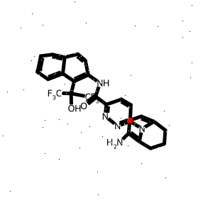 NC1=C2CCCC(=CC1)N2c1ccc(C(=O)Nc2ccc3ccccc3c2C(O)(C(F)(F)F)C(F)(F)F)nn1